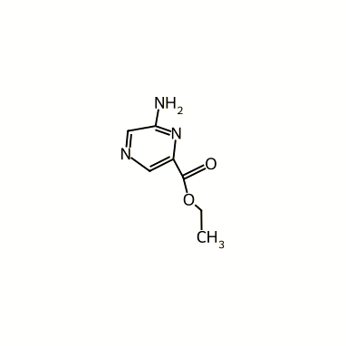 CCOC(=O)c1cncc(N)n1